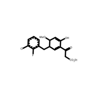 CCOC(=O)CC(=O)C1=CC(Cc2cccc(Cl)c2F)C(OC)C=C1O